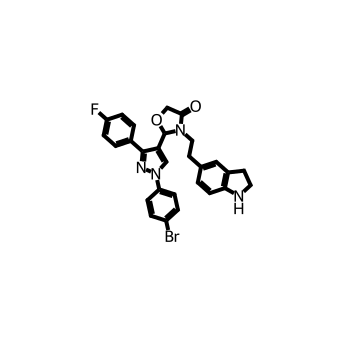 O=C1COC(c2cn(-c3ccc(Br)cc3)nc2-c2ccc(F)cc2)N1CCc1ccc2c(c1)CCN2